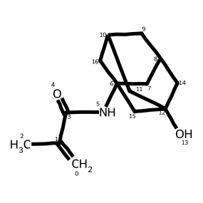 C=C(C)C(=O)NC12CC3CC(CC(O)(C3)C1)C2